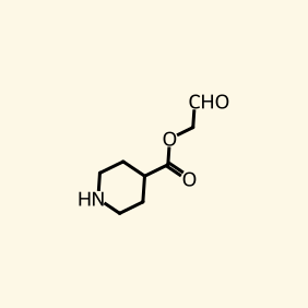 O=CCOC(=O)C1CCNCC1